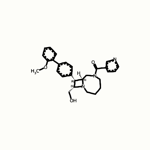 COc1ccccc1-c1ccc([C@H]2[C@@H](CO)N3CCCCN(C(=O)c4cccnc4)C[C@H]23)cc1